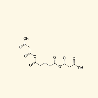 O=C(O)CC(=O)OC(=O)CCCC(=O)OC(=O)CC(=O)O